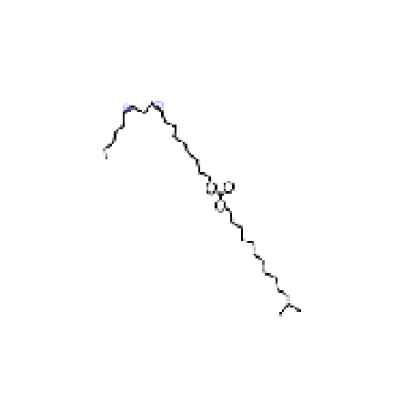 CCCCC/C=C\C/C=C\CCCCCCCCOC(=O)OCCCCCCCCCCCC(C)C